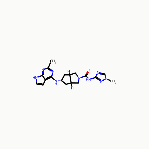 Cc1nc(N[C@@H]2C[C@@H]3CN(C(=O)Nc4ncn(C)n4)C[C@@H]3C2)c2cc[nH]c2n1